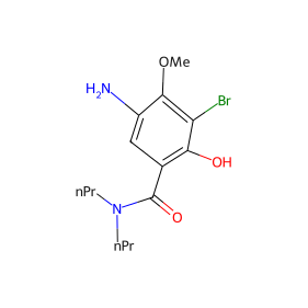 CCCN(CCC)C(=O)c1cc(N)c(OC)c(Br)c1O